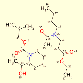 CC(C)COC(=O)N1CCCCC1C(C)O.CCCCN(CCC(=O)OCC)C(C)=O